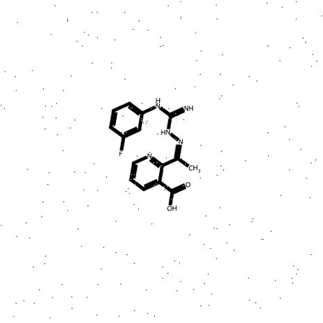 CC(=NNC(=N)Nc1cccc(F)c1)c1ncccc1C(=O)O